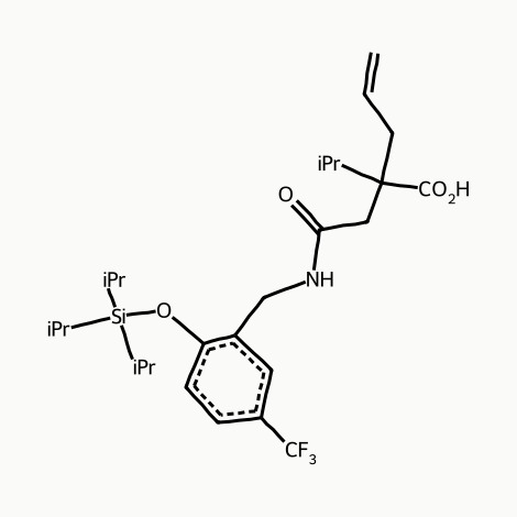 C=CCC(CC(=O)NCc1cc(C(F)(F)F)ccc1O[Si](C(C)C)(C(C)C)C(C)C)(C(=O)O)C(C)C